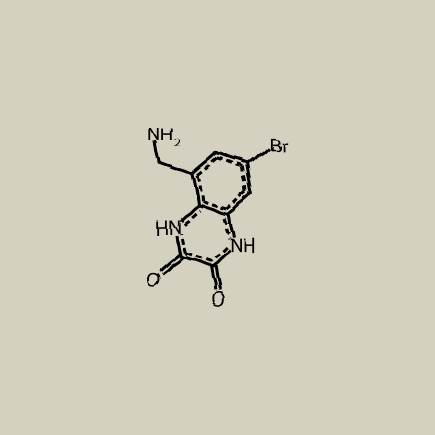 NCc1cc(Br)cc2[nH]c(=O)c(=O)[nH]c12